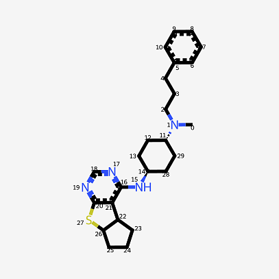 CN(CCCc1ccccc1)[C@H]1CC[C@H](Nc2ncnc3c2C2CCCC2S3)CC1